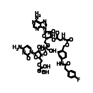 Nc1ccn([C@@H]2OC(COP(=O)(O)O)[C@@H](OP(=O)(O)OC[C@H]3O[C@@H](n4cnc5c(N)ncnc54)[C@H](O)[C@@H]3OC(=O)CNC(=O)OCc3ccc(NC(=O)Cc4ccc(F)cc4)cc3)[C@H]2O)c(=O)n1